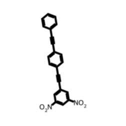 O=[N+]([O-])c1cc(C#Cc2ccc(C#Cc3ccccc3)cc2)cc([N+](=O)[O-])c1